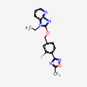 Fc1cc(COc2nc3ncccc3n2CC(F)(F)F)ccc1-c1noc(C(F)(F)F)n1